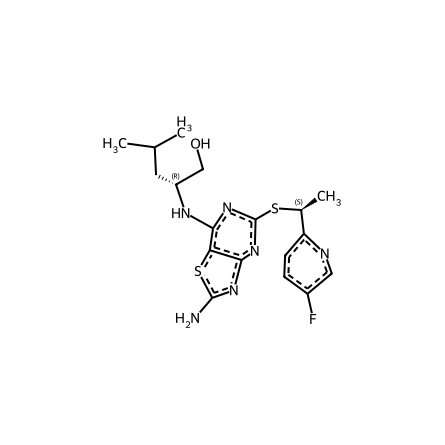 CC(C)C[C@H](CO)Nc1nc(S[C@@H](C)c2ccc(F)cn2)nc2nc(N)sc12